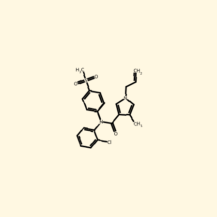 C=CCn1cc(C)c(C(=O)N(c2ccc(S(C)(=O)=O)cc2)c2ccccc2Cl)c1